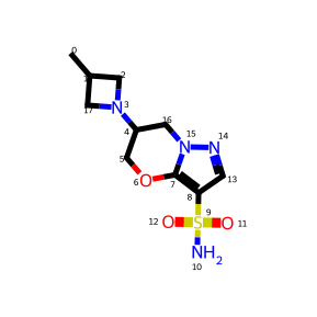 CC1CN(C2COc3c(S(N)(=O)=O)cnn3C2)C1